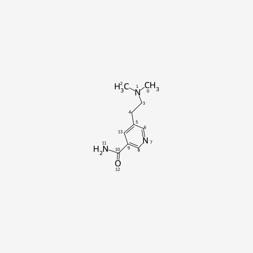 CN(C)CCc1cncc(C(N)=O)c1